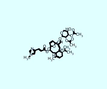 CC(=O)O[C@@H]1[C@H](OC/C2=C/[C@@H]3[C@@H](C(C)C)CC=C(C)[C@@H]3C[C@H](OC(=O)/C=C/c3cn(C)cn3)[C@]3(C)C=C[C@@]2(O)O3)OC[C@@H](O)[C@H]1OC(C)=O